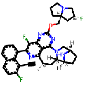 C#Cc1c(F)ccc2cccc(-c3nc4c5c(nc(OC[C@@]67CCCN6C[C@H](F)C7)nc5c3F)N3C[C@H]5CC[C@H](N5)[C@@H]3C[C@@H]4C)c12